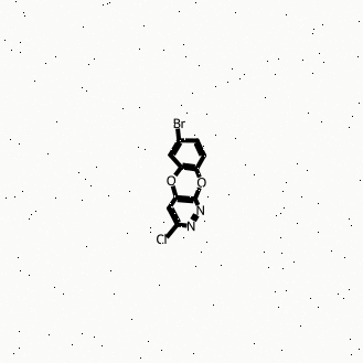 Clc1cc2c(nn1)Oc1ccc(Br)cc1O2